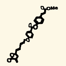 C=C1CC(CCCCCOc2ccc(C(=O)Oc3ccc(/C=C/C(=O)OC)cc3)cc2)OC1=O